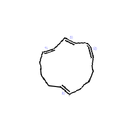 [C]1=C/CCC/C=C/C=C/C=C\CCC/1